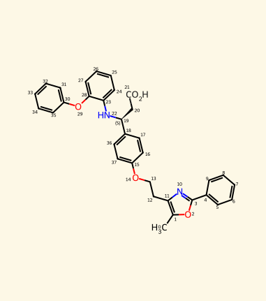 Cc1oc(-c2ccccc2)nc1CCOc1ccc([C@H](CC(=O)O)Nc2ccccc2Oc2ccccc2)cc1